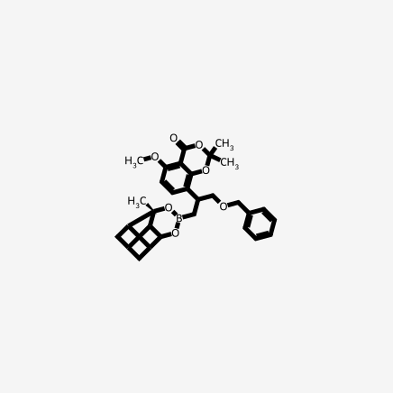 COc1ccc(C(COCc2ccccc2)CB2OC3C4CC5CC6C54C3[C@@]6(C)O2)c2c1C(=O)OC(C)(C)O2